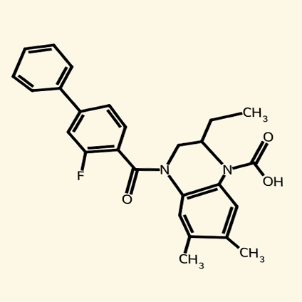 CCC1CN(C(=O)c2ccc(-c3ccccc3)cc2F)c2cc(C)c(C)cc2N1C(=O)O